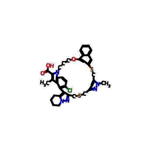 Cc1c(C(=O)O)n2c3ccc(Cl)c(c13)-c1c(nn3c1CCCC3)CSCc1cc(n(C)n1)CSc1cc(c3ccccc3c1)OCCC2